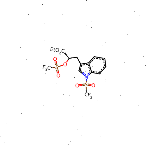 CCOC(=O)[C@@H](Cc1cn(S(=O)(=O)C(F)(F)F)c2ccccc12)OS(=O)(=O)C(F)(F)F